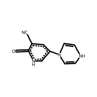 N#Cc1cc(N2C=CNC=C2)c[nH]c1=O